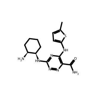 Cc1ccc(Nc2nc(N[C@@H]3CCCC[C@@H]3N)nnc2C(N)=O)s1